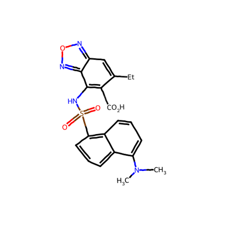 CCc1cc2nonc2c(NS(=O)(=O)c2cccc3c(N(C)C)cccc23)c1C(=O)O